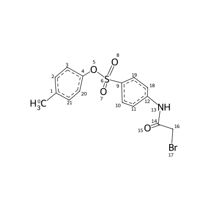 Cc1ccc(OS(=O)(=O)c2ccc(NC(=O)CBr)cc2)cc1